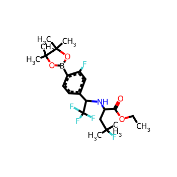 CCOC(=O)C(CC(C)(C)F)NC(c1ccc(B2OC(C)(C)C(C)(C)O2)c(F)c1)C(F)(F)F